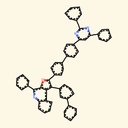 c1ccc(-c2cccc(-c3c(-c4ccc(-c5ccc(-c6cc(-c7ccccc7)nc(-c7ccccc7)n6)cc5)cc4)oc4c(-c5ccccc5)nc5ccccc5c34)c2)cc1